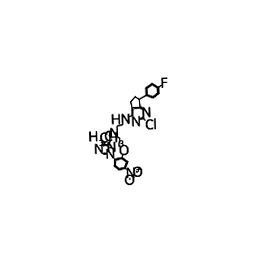 Cc1ncn(-c2ccc([N+](=O)[O-])cc2OCCN(C)CCNc2nc(Cl)nc3c2CCC3c2ccc(F)cc2)n1